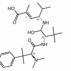 C/C(=C\[C@@H](NC(O)[C@@H](NC(=O)[C@@H](N(C)C)C(C)(C)c1ccccc1)C(C)(C)C)C(C)C)C(=O)O